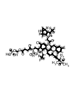 CC(C)(C#Cc1ccc(-c2ccc(Cl)c3c(CN(C(=O)CCC(=O)OCOP(=O)(O)O)[SH](=O)=O)nn(CC(F)(F)F)c23)c(C(Cc2cc(F)cc(F)c2)NC(=O)Cn2nc(C(F)(F)F)c3c2C(F)(F)[C@@H]2C[C@H]32)n1)S(C)(=O)=O